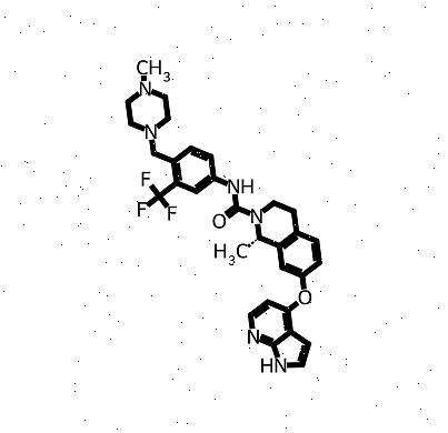 C[C@H]1c2cc(Oc3ccnc4[nH]ccc34)ccc2CCN1C(=O)Nc1ccc(CN2CCN(C)CC2)c(C(F)(F)F)c1